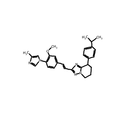 COc1cc(C=Cc2nc3n(n2)CCCC3c2ccc(C(C)C)cc2)ccc1-n1cnc(C)c1